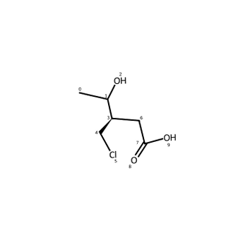 CC(O)[C@H](CCl)CC(=O)O